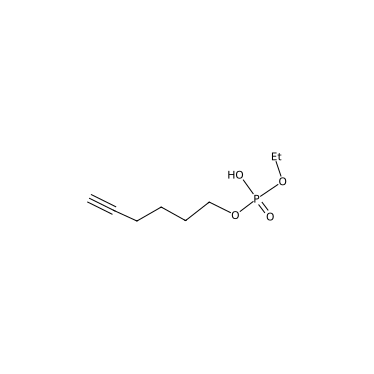 C#CCCCCOP(=O)(O)OCC